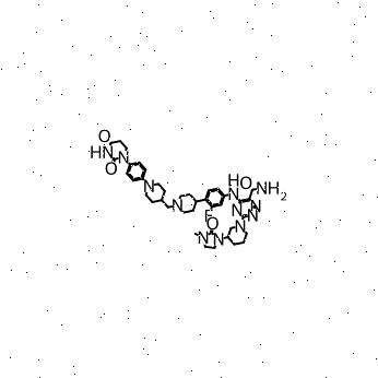 CN1CCN(C2CCCN(c3nnc(C(N)=O)c(Nc4ccc(C5CCN(CC6CCN(c7ccc(N8CCC(=O)NC8=O)cc7)CC6)CC5)c(F)c4)n3)C2)C1=O